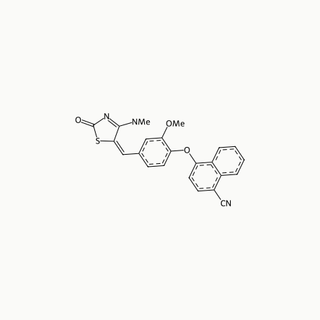 CNC1=NC(=O)SC1=Cc1ccc(Oc2ccc(C#N)c3ccccc23)c(OC)c1